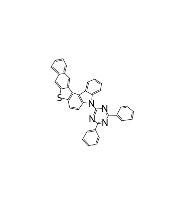 c1ccc(-c2nc(-c3ccccc3)nc(-n3c4ccccc4c4c5c(ccc43)sc3cc4ccccc4cc35)n2)cc1